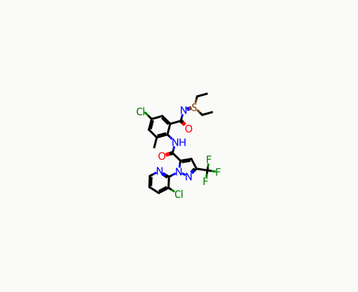 CCS(CC)=NC(=O)c1cc(Cl)cc(C)c1NC(=O)c1cc(C(F)(F)F)nn1-c1ncccc1Cl